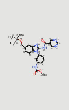 CC(C)(C)OC(=O)Nc1cccc(-n2c(NC(=O)c3cncnc3)nc3cc(CO[Si](C)(C)C(C)(C)C)ccc32)c1